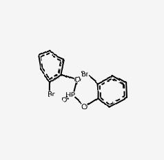 O=[PH](Oc1ccccc1Br)Oc1ccccc1Br